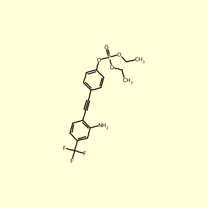 CCOP(=O)(OCC)Oc1ccc(C#Cc2ccc(C(F)(F)F)cc2N)cc1